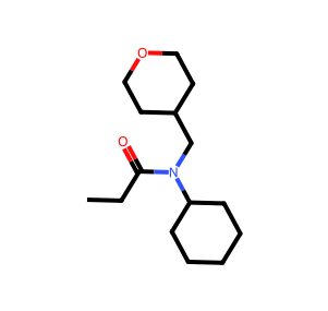 CCC(=O)N(CC1CCOCC1)C1CCCCC1